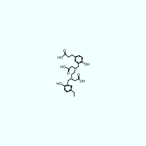 CCc1ccc(O)c(CN(CCN(CC(=O)O)Cc2cc(CCC(=O)O)ccc2O)CC(=O)O)c1